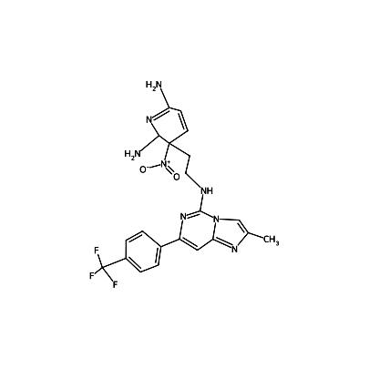 Cc1cn2c(NCCC3([N+](=O)[O-])C=CC(N)=NC3N)nc(-c3ccc(C(F)(F)F)cc3)cc2n1